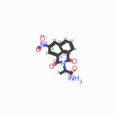 CC(C(N)=O)N1C(=O)c2cccc3cc([N+](=O)[O-])cc(c23)C1=O